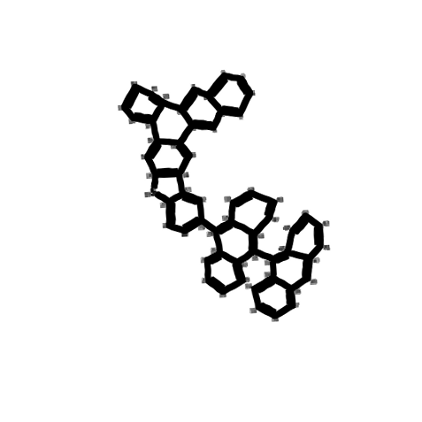 c1ccc2cc3c(cc2c1)c1ccccc1c1cc2sc4ccc(-c5c6ccccc6c(-c6c7ccccc7cc7ccccc67)c6ccccc56)cc4c2cc31